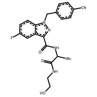 CC(C)(C)C(NC(=O)c1nn(Cc2ccc(C#N)cc2)c2ccc(F)cc12)C(=O)NCCO